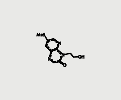 CSc1cnc2c(c1)ncc(=O)n2CCO